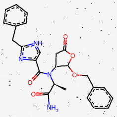 C[C@@H](C(N)=O)N(C(=O)c1c[nH]c(Cc2ccccc2)n1)C1CC(=O)OC1OCc1ccccc1